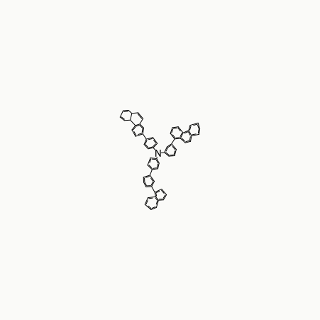 C1=CC2C=Cc3cc(-c4ccc(N(c5ccc(-c6cccc(-c7cccc8ccccc78)c6)cc5)c5cccc(-c6cccc7c6ccc6ccccc67)c5)cc4)ccc3C2C=C1